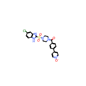 O=C(c1ccc(-c2cc[n+]([O-])cc2)cc1)N1CCN(S(=O)(=O)c2nc3cc(Cl)ccc3[nH]2)CC1